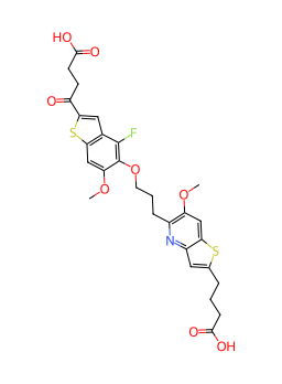 COc1cc2sc(CCCC(=O)O)cc2nc1CCCOc1c(OC)cc2sc(C(=O)CCC(=O)O)cc2c1F